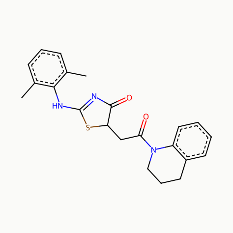 Cc1cccc(C)c1NC1=NC(=O)C(CC(=O)N2CCCc3ccccc32)S1